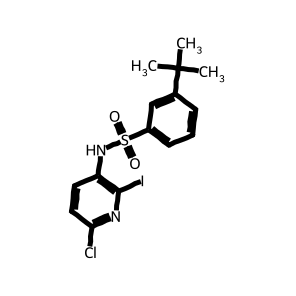 CC(C)(C)c1cccc(S(=O)(=O)Nc2ccc(Cl)nc2I)c1